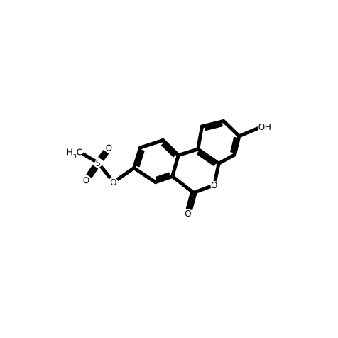 CS(=O)(=O)Oc1ccc2c(c1)c(=O)oc1cc(O)ccc12